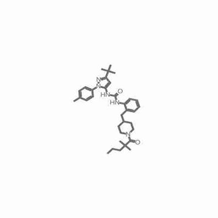 CCCC(C)(C)C(=O)N1CCC(Cc2ccccc2NC(=O)Nc2cc(C(C)(C)C)nn2-c2ccc(C)cc2)CC1